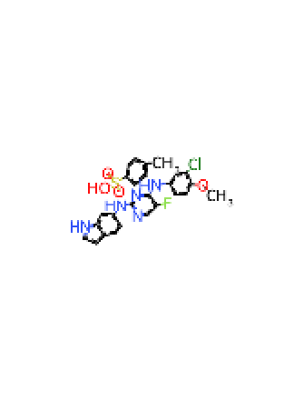 COc1ccc(Nc2nc(Nc3ccc4cc[nH]c4c3)ncc2F)cc1Cl.Cc1ccc(S(=O)(=O)O)cc1